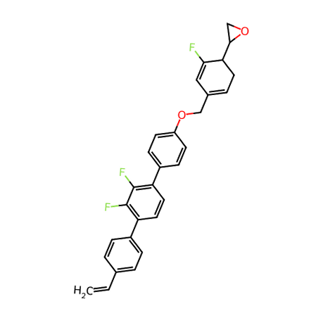 C=Cc1ccc(-c2ccc(-c3ccc(OCC4=CCC(C5CO5)C(F)=C4)cc3)c(F)c2F)cc1